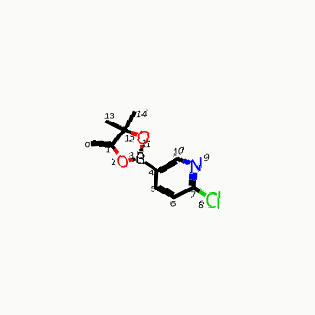 C=C1OB(c2ccc(Cl)nc2)OC1(C)C